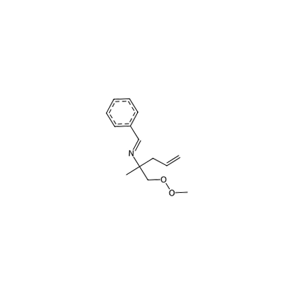 C=CCC(C)(COOC)N=Cc1ccccc1